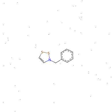 C1=CN(Cc2ccccc2)SS1